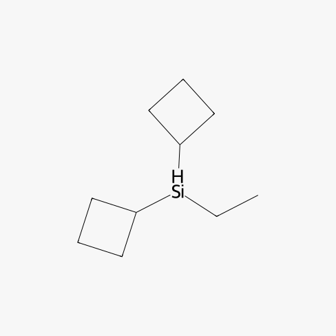 CC[SiH](C1CCC1)C1CCC1